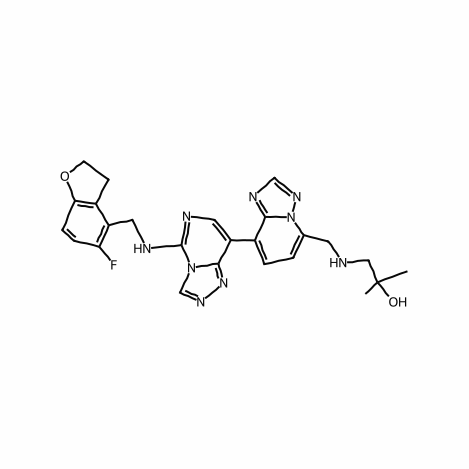 CC(C)(O)CNCc1ccc(-c2cnc(NCc3c(F)ccc4c3CCO4)n3cnnc23)c2ncnn12